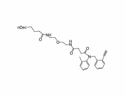 C#Cc1ccccc1CN(C(=O)CCC(=O)NCCOCCNC(=O)CCCCCCCCCCCCC)c1ccccc1C